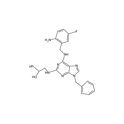 CCCC(O)CNc1nc(NCc2cc(F)ccc2N)c2ncn(Cc3ccccc3)c2n1